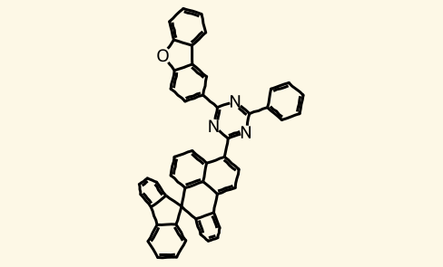 c1ccc(-c2nc(-c3ccc4oc5ccccc5c4c3)nc(-c3ccc4c5c(cccc35)C3(c5ccccc5-c5ccccc53)c3ccccc3-4)n2)cc1